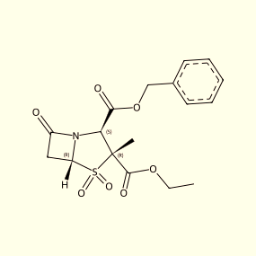 CCOC(=O)[C@@]1(C)[C@H](C(=O)OCc2ccccc2)N2C(=O)C[C@H]2S1(=O)=O